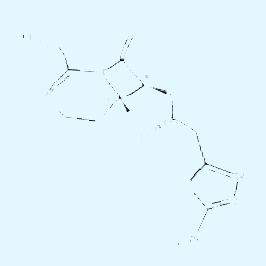 Nc1nnc(CC(=O)N[C@@H]2C(=O)N3C(C(=O)O)=CCS[C@@H]23)s1